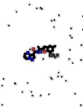 Cc1cc(C(=O)O)c2oc(C(C)NC(=O)c3cnn4cccnc34)cc2c1